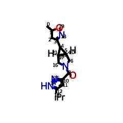 CC1CC(C2[C@H]3CN(C(=O)c4cc(C(C)C)[nH]n4)C[C@@H]23)=NO1